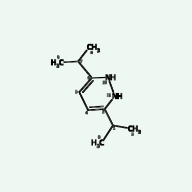 CC(C)C1=CC=C(C(C)C)NN1